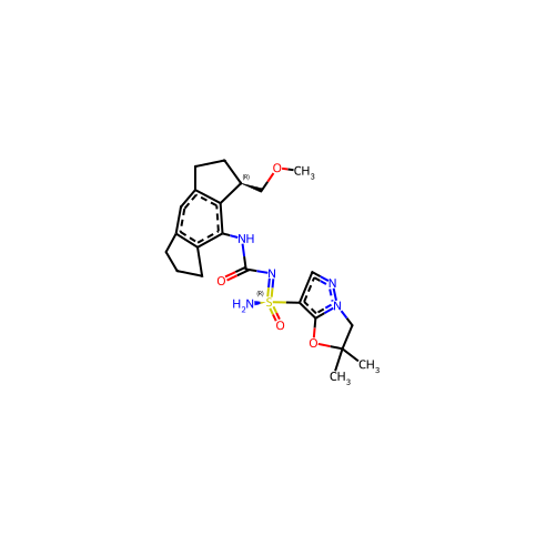 COC[C@@H]1CCc2cc3c(c(NC(=O)N=[S@@](N)(=O)c4cnn5c4OC(C)(C)C5)c21)CCC3